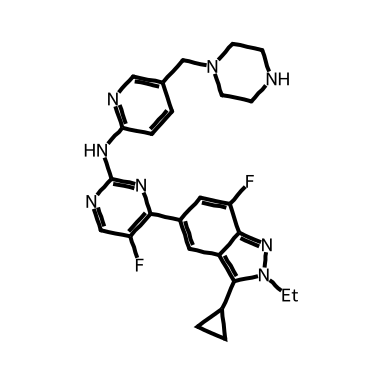 CCn1nc2c(F)cc(-c3nc(Nc4ccc(CN5CCNCC5)cn4)ncc3F)cc2c1C1CC1